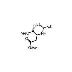 CCC(CC)NC(CC(=O)OC)C(=O)OC